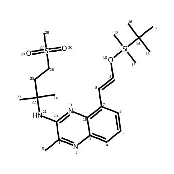 Cc1nc2cccc(C=CO[Si](C)(C)C(C)(C)C)c2nc1NC(C)(C)CCS(C)(=O)=O